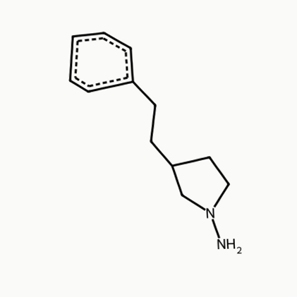 NN1CCC(CCc2ccccc2)C1